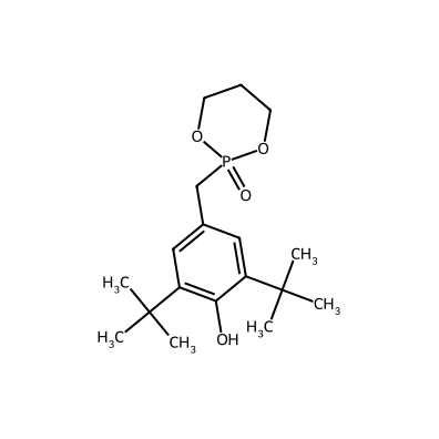 CC(C)(C)c1cc(CP2(=O)OCCCO2)cc(C(C)(C)C)c1O